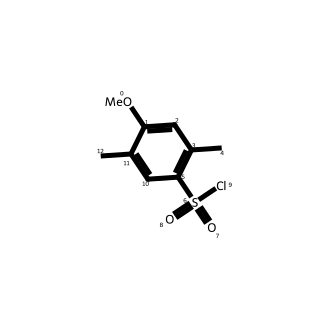 COc1cc(C)c(S(=O)(=O)Cl)cc1C